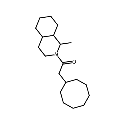 CC1C2CCCCC2CCN1C(=O)CC1CCCCCCC1